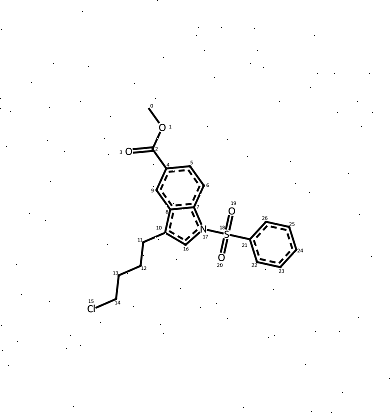 COC(=O)c1ccc2c(c1)c(CCCCCl)cn2S(=O)(=O)c1ccccc1